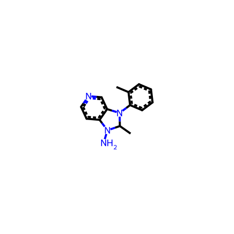 Cc1ccccc1N1c2cnccc2N(N)C1C